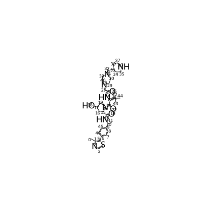 Cc1ncsc1-c1ccc([C@H](C)NC(=O)[C@@H]2C[C@@H](O)CN2C(=O)[C@@H](NC(=O)CN2CCN(CC3CCNCC3)CC2)C(C)(C)C)cc1